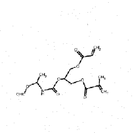 C=CC(=O)OCC(COC(=O)C(=C)C)OC(=O)NC(C)OC=O